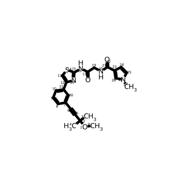 COC(C)(C)C#Cc1cccc(-c2csc(NC(=O)CNC(=O)c3ccn(C)c3)n2)c1